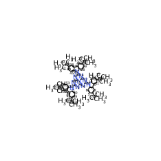 CC(C)(C)c1ccc2c(c1)c1cc(C(C)(C)C)ccc1n2C1=NC2=NC(n3c4ccc(C(C)(C)C)cc4c4cc(C(C)(C)C)ccc43)=NC3=NC(n4c5ccc(C(C)(C)C)cc5c5cc(C(C)(C)C)ccc54)=NC(=N1)N23